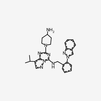 CC(C)c1cnn2c(NCc3ccccc3-n3cc4ccccc4n3)nc(N3CCC(N)CC3)nc12